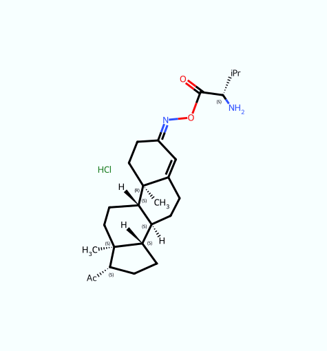 CC(=O)[C@H]1CC[C@H]2[C@@H]3CCC4=CC(=NOC(=O)[C@@H](N)C(C)C)CC[C@]4(C)[C@H]3CC[C@]12C.Cl